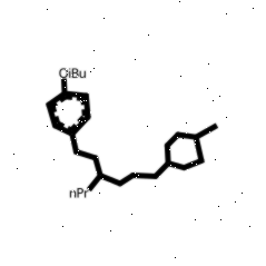 CCCC(CCCC1CCC(C)CC1)CCc1ccc(OCC(C)C)cc1